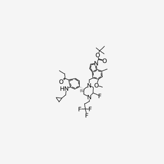 CCC(=O)c1ccc([C@H]2CN(CCC(F)(F)F)C(F)CN2Cc2c(OC)cc(C)c3c2ccn3C(=O)OC(C)(C)C)cc1NCC1CC1